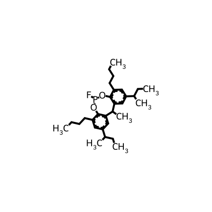 CCCCc1cc(C(C)CC)cc2c1OP(F)Oc1c(CCCC)cc(C(C)CC)cc1C2C